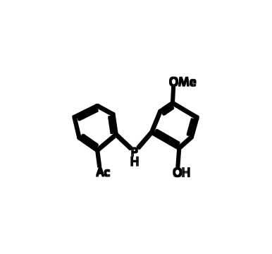 COc1ccc(O)c(Pc2ccccc2C(C)=O)c1